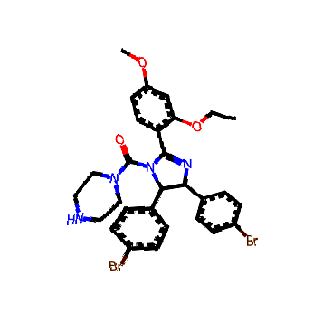 CCOc1cc(OC)ccc1C1=NC(c2ccc(Br)cc2)C(c2ccc(Br)cc2)N1C(=O)N1CCNCC1